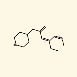 C=C(/C=C(\C=N/C)CC)CC1CCNCC1